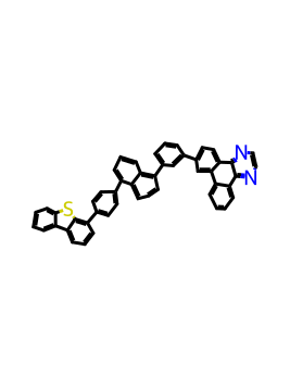 c1cc(-c2ccc3c(c2)c2ccccc2c2nccnc32)cc(-c2cccc3c(-c4ccc(-c5cccc6c5sc5ccccc56)cc4)cccc23)c1